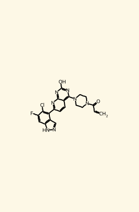 C=CC(=O)N1CCN(c2nc(O)nc3nc(-c4c(Cl)c(F)cc5[nH]ncc45)ccc23)CC1